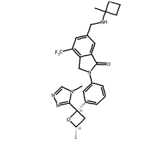 C[C@H]1C[C@](c2cccc(N3Cc4c(cc(CNC5(C)CCC5)cc4C(F)(F)F)C3=O)c2)(c2nncn2C)O1